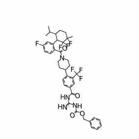 CC(C)C1CCC(C)(F)C(F)(F)C1c1cc(F)ccc1C(=O)N1CCC(c2ccc(C(=O)NC(=N)NC(=O)OCc3ccccc3)cc2C(F)(F)F)CC1